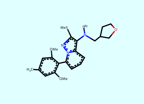 CCCN(CC1CCOC1)c1c(SC)nn2c(-c3c(OC)cc(C)cc3OC)cccc12